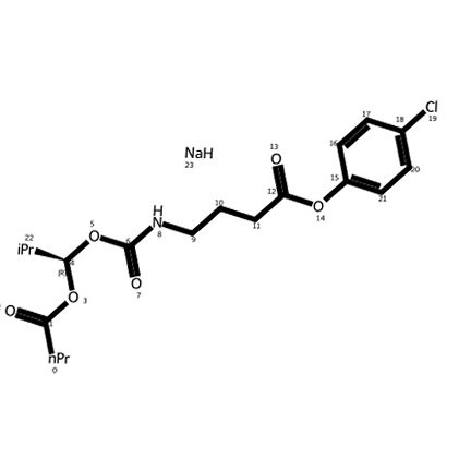 CCCC(=O)O[C@H](OC(=O)NCCCC(=O)Oc1ccc(Cl)cc1)C(C)C.[NaH]